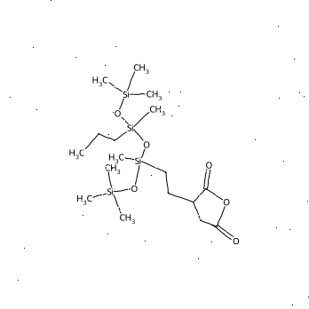 CCC[Si](C)(O[Si](C)(C)C)O[Si](C)(CCC1CC(=O)OC1=O)O[Si](C)(C)C